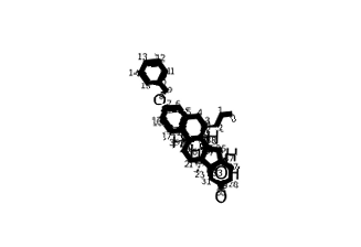 CCC[C@@H]1Cc2cc(OCc3ccccc3)ccc2[C@H]2CC[C@@]3(C)[C@@H](C[C@H]4CCC(=O)C[C@@]43O)[C@H]12